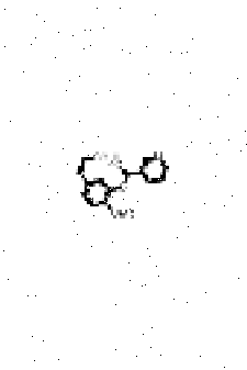 COc1ccc(/C=C\C(=O)O)cc1OC(=O)c1cccnc1